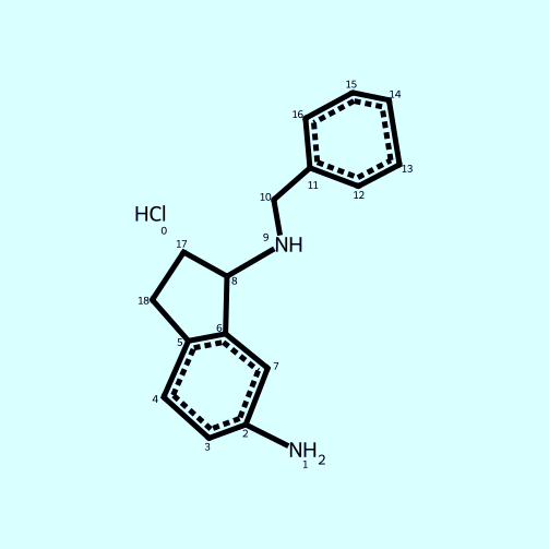 Cl.Nc1ccc2c(c1)C(NCc1ccccc1)CC2